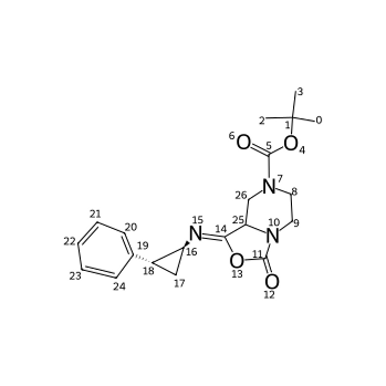 CC(C)(C)OC(=O)N1CCN2C(=O)OC(=N[C@H]3C[C@@H]3c3ccccc3)C2C1